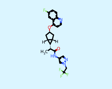 CC(C(=O)Nc1cnn(CC(F)(F)F)c1)[C@@H]1[C@@H]2C[C@@H](Oc3ccnc4ccc(F)cc34)C[C@@H]21